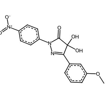 COc1cccc(C2=NN(c3ccc([N+](=O)[O-])cc3)C(=O)C2(O)O)c1